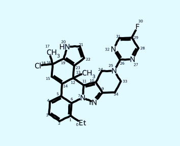 CCc1cccc2c1-n1nc3c(c1C1(C)C2=CC(C)(Cl)c2[nH]ccc21)CN(c1ncc(F)cn1)CC3